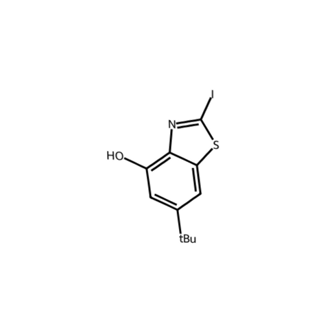 CC(C)(C)c1cc(O)c2nc(I)sc2c1